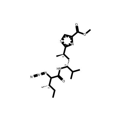 CC[C@H](C)C(N=[N+]=[N-])C(=O)N[C@H](C[C@@H](C)c1nc(C(=O)OC)cs1)C(C)C